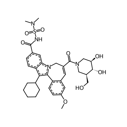 COc1ccc2c(c1)C=C(C(=O)N1C[C@H](CO)[C@@H](O)[C@H](O)C1)Cn1c-2c(C2CCCCC2)c2ccc(C(=O)NS(=O)(=O)N(C)C)cc21